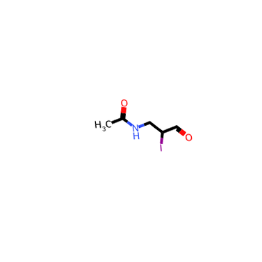 CC(=O)NCC(I)C=O